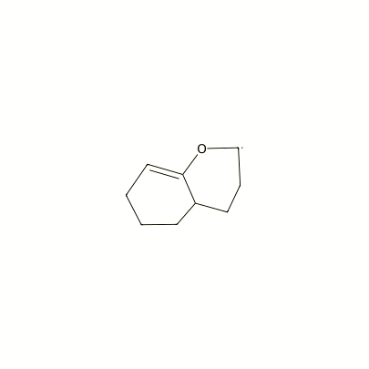 [CH]1CCC2CCCC=C2O1